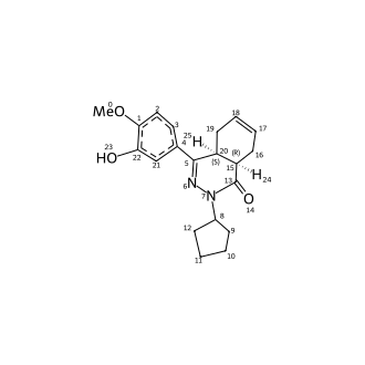 COc1ccc(C2=NN(C3CCCC3)C(=O)[C@@H]3CC=CC[C@H]23)cc1O